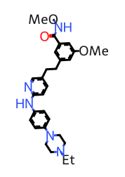 CCN1CCN(c2ccc(Nc3ccc(CCc4cc(OC)cc(C(=O)NOC)c4)cn3)cc2)CC1